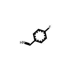 N=Cc1ccc(F)cc1